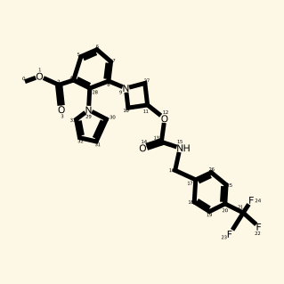 COC(=O)c1cccc(N2CC(OC(=O)NCc3ccc(C(F)(F)F)cc3)C2)c1-n1cccc1